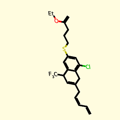 C=C/C=C\CC1=CC(C(F)(F)F)c2cc(SCCCC(=C)OCC)cc(Cl)c2C1